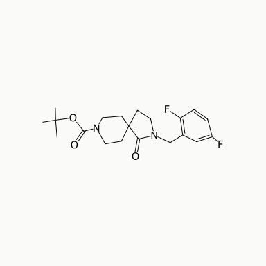 CC(C)(C)OC(=O)N1CCC2(CC1)CCN(Cc1cc(F)ccc1F)C2=O